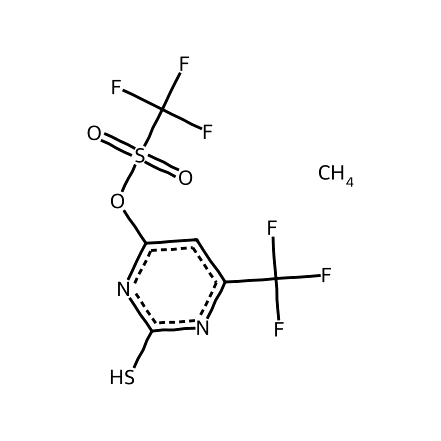 C.O=S(=O)(Oc1cc(C(F)(F)F)nc(S)n1)C(F)(F)F